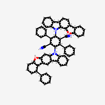 N#Cc1c(-c2ccccc2)c(-n2c3ccccc3c3ccc4c5ccccc5oc4c32)c(C#N)c(-c2ccccc2)c1-n1c2ccccc2c2cc3c(cc21)oc1cccc(-c2ccccc2)c13